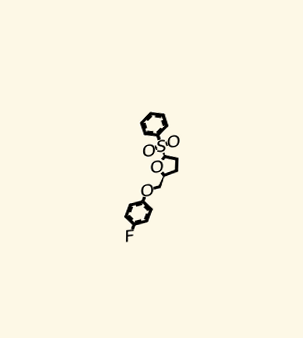 O=S(=O)(c1ccccc1)[C@@H]1CC[C@@H](COc2ccc(F)cc2)O1